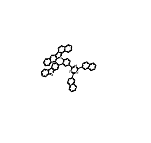 c1ccc2cc(-c3nc(-c4ccc(-n5c6cc7ccccc7cc6c6ccc7ccccc7c65)c(-c5ccc6c(c5)sc5ccccc56)c4)nc(-c4ccc5ccccc5c4)n3)ccc2c1